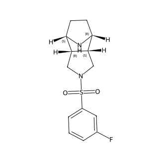 O=S(=O)(c1cccc(F)c1)N1C[C@@H]2[C@H](C1)[C@@H]1CC[C@H]2N1